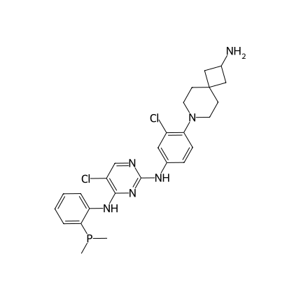 CP(C)c1ccccc1Nc1nc(Nc2ccc(N3CCC4(CC3)CC(N)C4)c(Cl)c2)ncc1Cl